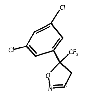 FC(F)(F)C1(c2cc(Cl)cc(Cl)c2)C[C]=NO1